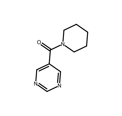 O=C(c1cncnc1)N1CCCCC1